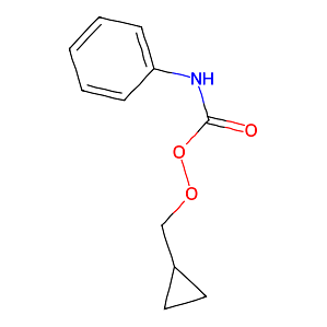 O=C(Nc1ccccc1)OOCC1CC1